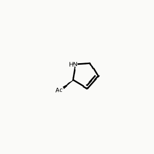 CC(=O)[C@@H]1C=CCN1